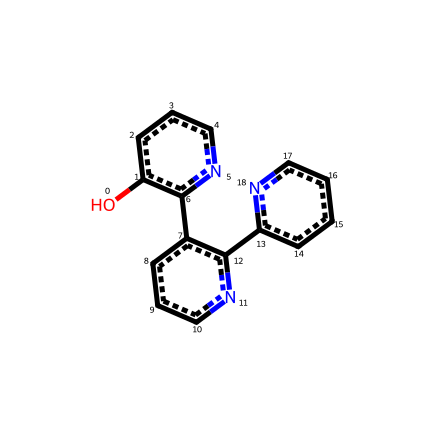 Oc1cccnc1-c1cccnc1-c1ccccn1